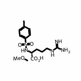 COC.Cc1ccc(S(=O)(=O)N[C@@H](CCCNC(=N)N)C(=O)O)cc1